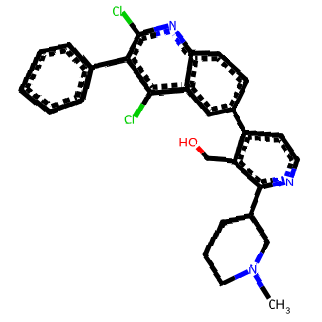 CN1CCCC(c2nccc(-c3ccc4nc(Cl)c(-c5ccccc5)c(Cl)c4c3)c2CO)C1